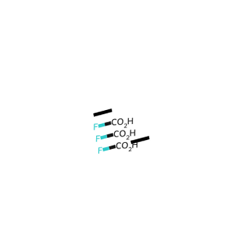 CC.CC.O=C(O)F.O=C(O)F.O=C(O)F